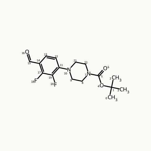 CC(C)(C)OC(=O)N1CCN(c2ccc(C=O)c(F)c2F)CC1